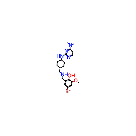 COc1cc(Br)cc(CNCC2CCC(Nc3nccc(N(C)C)n3)CC2)c1O